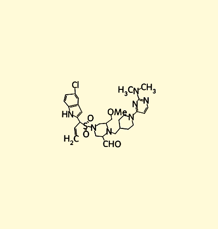 C=CC(c1cc2cc(Cl)ccc2[nH]1)S(=O)(=O)N1CC(C=O)N(CC2CCN(c3ccnc(N(C)C)n3)CC2)C(COC)C1